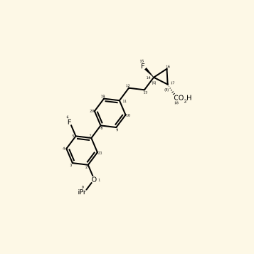 CC(C)Oc1ccc(F)c(-c2ccc(CC[C@]3(F)C[C@@H]3C(=O)O)cc2)c1